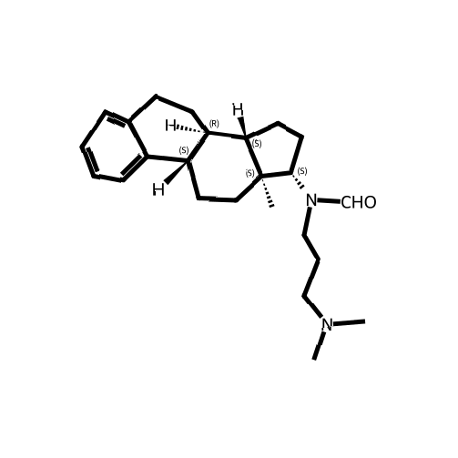 CN(C)CCCN(C=O)[C@H]1CC[C@H]2[C@@H]3CCc4ccccc4[C@H]3CC[C@]12C